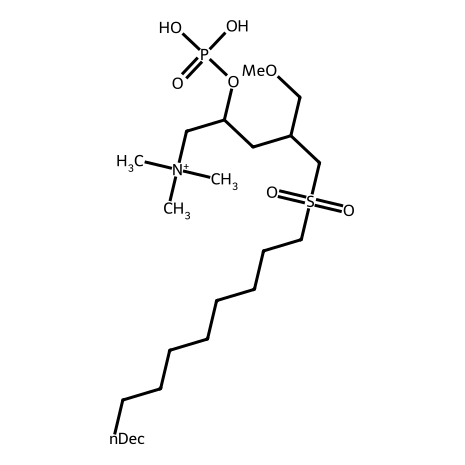 CCCCCCCCCCCCCCCCCCS(=O)(=O)CC(COC)CC(C[N+](C)(C)C)OP(=O)(O)O